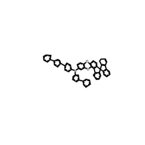 C1=CC2=C(CC1)C1(c3ccccc32)c2ccccc2-c2c1ccc1c2Oc2cc(N(c3ccc(-c4ccc(-c5ccccc5)cc4)cc3)c3cccc(-c4ccccc4)c3)ccc2O1